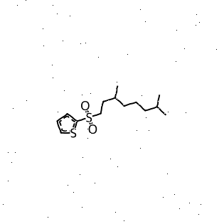 CC(C)CCCC(C)CCS(=O)(=O)c1cccs1